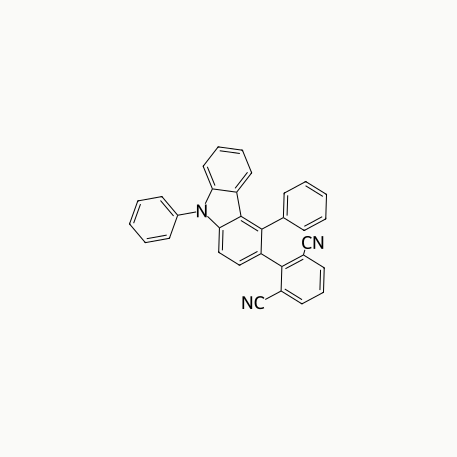 N#Cc1cccc(C#N)c1-c1ccc2c(c1-c1ccccc1)c1ccccc1n2-c1ccccc1